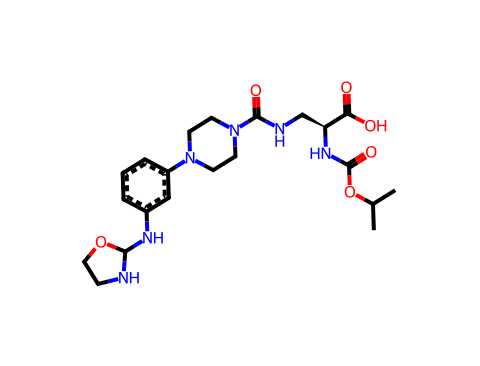 CC(C)OC(=O)N[C@@H](CNC(=O)N1CCN(c2cccc(NC3NCCO3)c2)CC1)C(=O)O